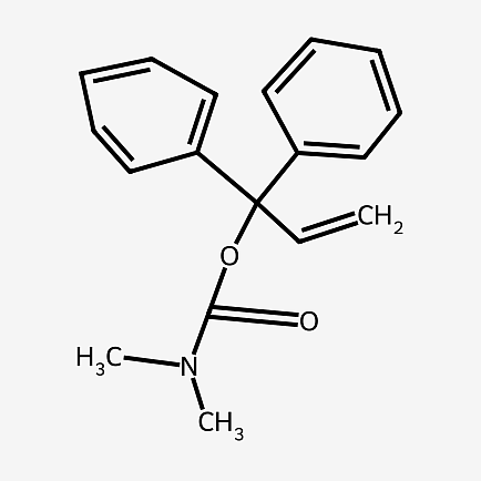 C=CC(OC(=O)N(C)C)(c1ccccc1)c1ccccc1